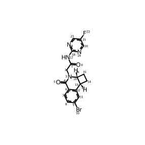 O=C(CN1C(=O)c2ccc(Br)cc2[C@H]2CC[C@H]21)Nc1ncc(F)cn1